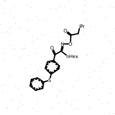 CCCCCC/C(=N\OC(=O)CC(C)C)C(=O)c1ccc(Sc2ccccc2)cc1